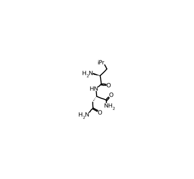 CC(C)C[C@H](N)C(=O)N[C@@H](CC(N)=O)C(N)=O